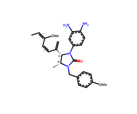 C=C(/C=C\C(=C/C)OC)[C@H]1[C@@H](C)N(Cc2ccc(OC)cc2)C(=O)N1c1ccc(N)c(N)c1